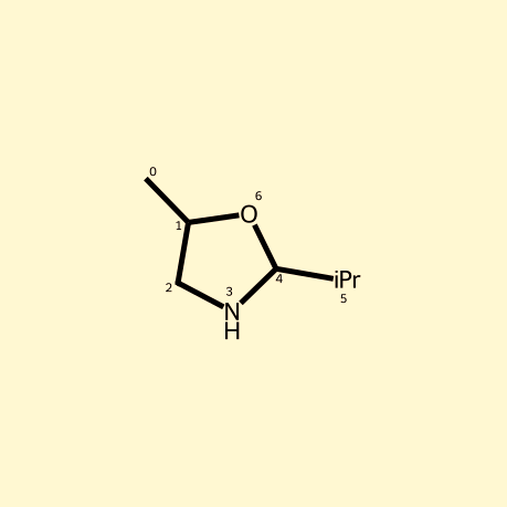 CC1CNC(C(C)C)O1